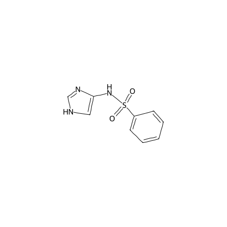 O=S(=O)(Nc1c[nH]cn1)c1ccccc1